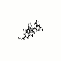 CCOC1=C=CNCC1NC(=O)C1=C(N)NN2CC(CC#N)CNC12